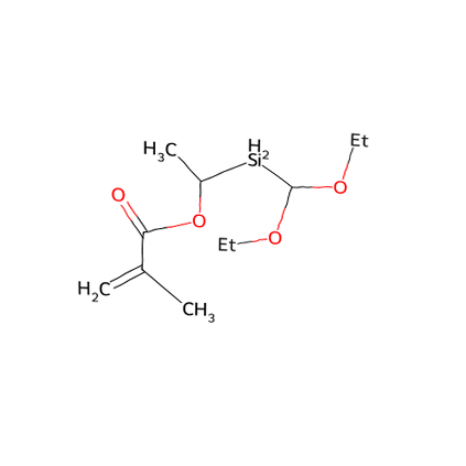 C=C(C)C(=O)OC(C)[SiH2]C(OCC)OCC